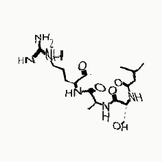 CC(C)CC(=O)N[C@H](CO)C(=O)N[C@@H](C)C(=O)N[C@H]([C]=O)CCCNC(=N)N